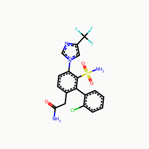 NC(=O)Cc1ccc(-n2cnc(C(F)(F)F)c2)c(S(N)(=O)=O)c1-c1ccccc1Cl